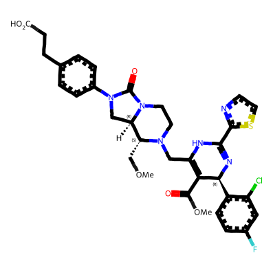 COC[C@@H]1[C@H]2CN(c3ccc(CCC(=O)O)cc3)C(=O)N2CCN1CC1=C(C(=O)OC)[C@H](c2ccc(F)cc2Cl)N=C(c2nccs2)N1